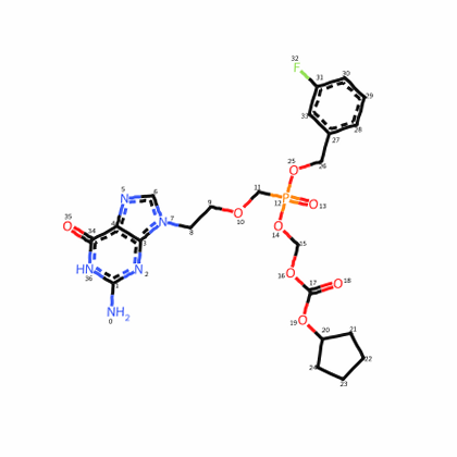 Nc1nc2c(ncn2CCOCP(=O)(OCOC(=O)OC2CCCC2)OCc2cccc(F)c2)c(=O)[nH]1